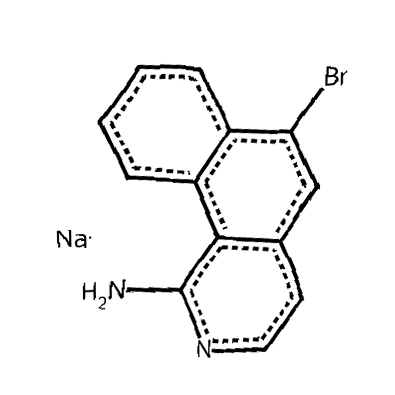 Nc1nccc2cc(Br)c3ccccc3c12.[Na]